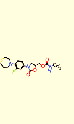 CNC(=O)OC[C@@H]1CN(c2ccc(N3CCCSCC3)c(F)c2)C(=O)O1